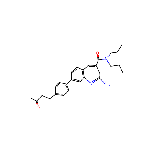 CCCN(CCC)C(=O)C1=Cc2ccc(-c3ccc(CCC(C)=O)cc3)cc2N=C(N)C1